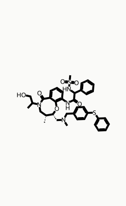 CC(CO)N1C[C@@H](C)[C@@H](CN(C)Cc2ccc(Sc3ccccc3)cc2)Oc2c(NC(=O)C(NS(C)(=O)=O)c3ccccc3)cccc2C1=O